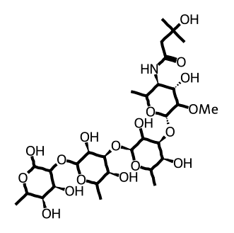 COC1[C@H](O[C@@H]2C(O)[C@H](O[C@@H]3[C@H](O)C(OC4C(O)OC(C)[C@H](O)[C@@H]4O)OC(C)[C@@H]3O)OC(C)[C@@H]2O)OC(C)[C@@H](NC(=O)CC(C)(C)O)[C@@H]1O